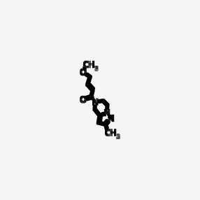 COC/C=C/C(=O)N1CCn2nc(C)cc2C1